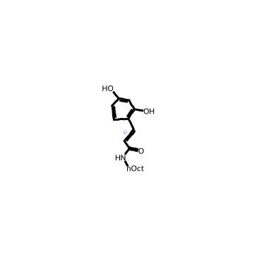 CCCCCCCCNC(=O)/C=C/c1ccc(O)cc1O